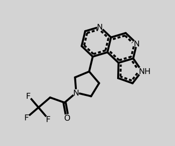 O=C(CC(F)(F)F)N1CCC(c2ccnc3cnc4[nH]ccc4c23)C1